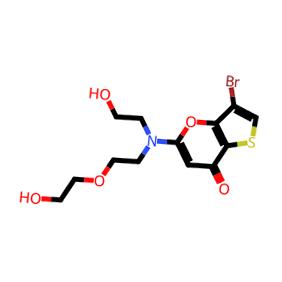 O=c1cc(N(CCO)CCOCCO)oc2c(Br)csc12